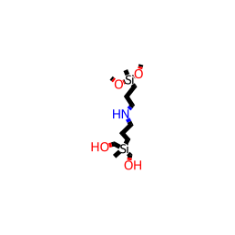 CO[Si](C)(CCCNCCC[Si](C)(CO)CO)OC